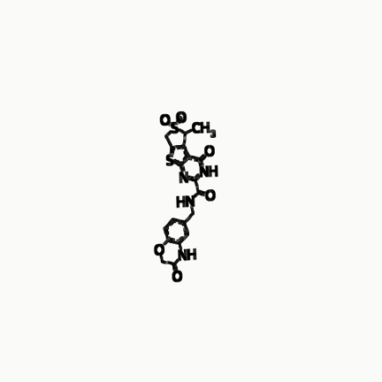 CC1c2c(sc3nc(C(=O)NCc4ccc5c(c4)NC(=O)CO5)[nH]c(=O)c23)CS1(=O)=O